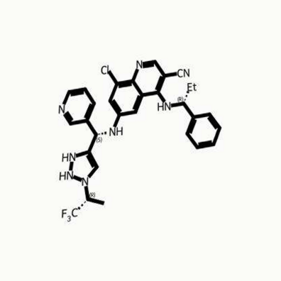 CC[C@@H](Nc1c(C#N)cnc2c(Cl)cc(N[C@H](C3=CN([C@H](C)C(F)(F)F)NN3)c3cccnc3)cc12)c1ccccc1